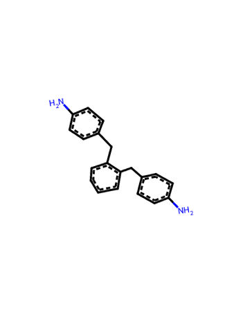 Nc1ccc(Cc2ccccc2Cc2ccc(N)cc2)cc1